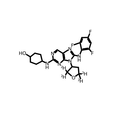 [2H]C1([2H])CC(n2c(Nc3c(F)cc(F)cc3F)nc3cnc(NC4CCC(O)CC4)nc32)C([2H])([2H])O1